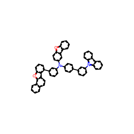 c1cc(-c2cccc3oc4c5ccccc5ccc4c23)cc(N(c2ccc(-c3cccc(-n4c5ccccc5c5ccccc54)c3)cc2)c2ccc3oc4ccccc4c3c2)c1